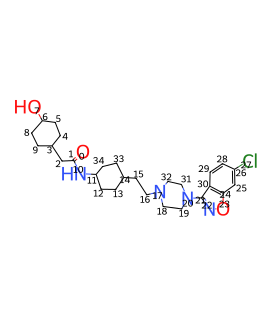 O=C(CC1CCC(O)CC1)NC1CCC(CCN2CCN(c3noc4cc(Cl)ccc34)CC2)CC1